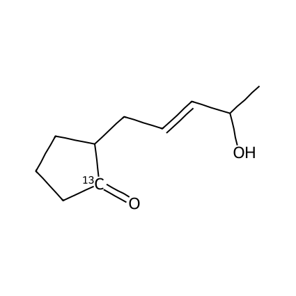 CC(O)C=CCC1CCC[13C]1=O